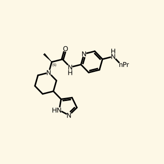 CCCNc1ccc(NC(=O)[C@H](C)N2CCCC(c3ccn[nH]3)C2)nc1